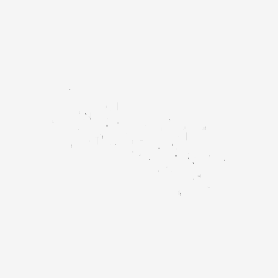 CC(C)N(C(C)C)[Si](Cl)(Cl)[Si](Cl)(Cl)[Si](Cl)(Cl)[Si](Cl)(Cl)[Si](Cl)(Cl)N(C(C)C)C(C)C